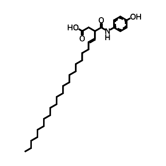 CCCCCCCCCCCCCCCCCCCCC=CC(CC(=O)O)C(=O)Nc1ccc(O)cc1